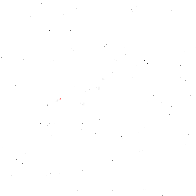 CCC1CN2CCC1CC2[C@H](NC(=S)Nc1cc(C)cc(C(F)(F)F)c1)c1ccnc2ccc(CO)cc12